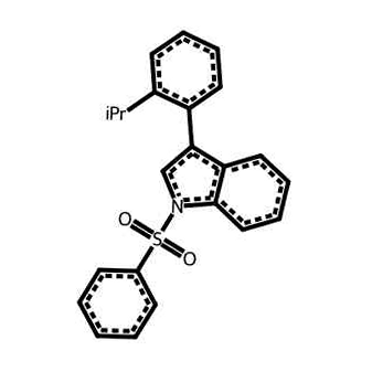 CC(C)c1ccccc1-c1cn(S(=O)(=O)c2ccccc2)c2ccccc12